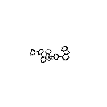 Oc1cccc(-c2cccc(-c3ccccc3)c2)c1C1=C(Nc2ccc(-c3cccc4sc5ccccc5c34)cc2)C=CCC1